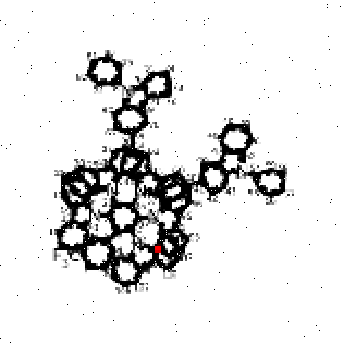 FC(F)(F)c1cccc(-c2c(-n3c4ccccc4c4ccccc43)c(-n3c4ccccc4c4ccccc43)c(-n3c4ccc(-c5ccc6c(c5)c5ccccc5n6-c5ccccc5)cc4c4cc(-c5ccc6c(c5)c5ccccc5n6-c5ccccc5)ccc43)c(-n3c4ccccc4c4ccccc43)c2-n2c3ccccc3c3ccccc32)c1